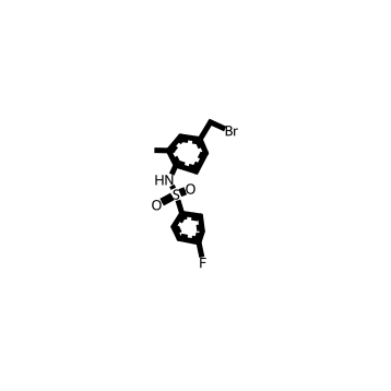 Cc1cc(CBr)ccc1NS(=O)(=O)c1ccc(F)cc1